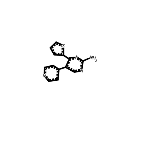 Nc1ncc(-c2ccncc2)c(-c2cccs2)n1